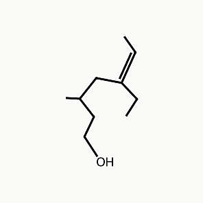 CC=C(CC)CC(C)CCO